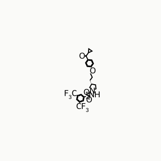 O=C(c1ccc(OCCC[C@@H]2CCN(NS(=O)(=O)c3cc(C(F)(F)F)cc(C(F)(F)F)c3)C2)cc1)C1CC1